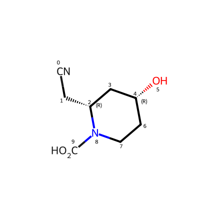 N#CC[C@@H]1C[C@H](O)CCN1C(=O)O